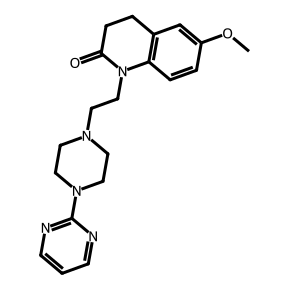 COc1ccc2c(c1)CCC(=O)N2CCN1CCN(c2ncccn2)CC1